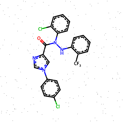 O=C(c1cn(-c2ccc(Cl)cc2)cn1)N(Nc1ccccc1C(F)(F)F)c1ccccc1Cl